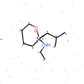 CCN[Si]1(CC(C)C)CCCCO1